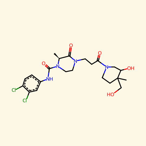 C[C@H]1C(=O)N(CCC(=O)N2CCC(C)(CO)C(O)C2)CCN1C(=O)Nc1ccc(Cl)c(Cl)c1